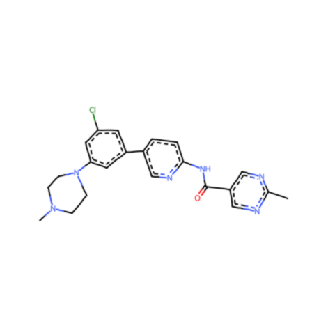 Cc1ncc(C(=O)Nc2ccc(-c3cc(Cl)cc(N4CCN(C)CC4)c3)cn2)cn1